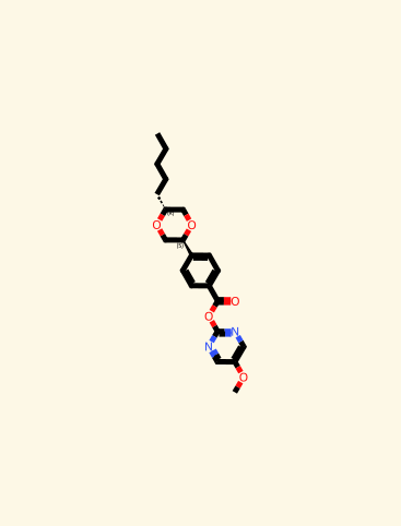 CCCCC[C@@H]1CO[C@@H](c2ccc(C(=O)Oc3ncc(OC)cn3)cc2)CO1